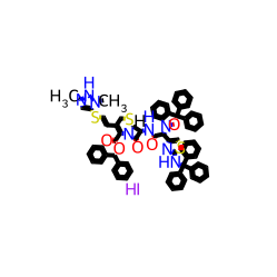 CN1C=C(SC=CC2=C(C(=O)OC(c3ccccc3)c3ccccc3)N3C(=O)C(NC(=O)C(=NOC(c4ccccc4)(c4ccccc4)c4ccccc4)c4csc(NC(c5ccccc5)(c5ccccc5)c5ccccc5)n4)[C@@H]3SC2)N(C)N1.I